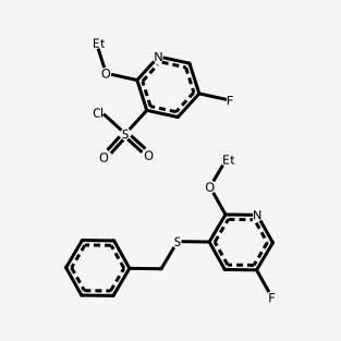 CCOc1ncc(F)cc1S(=O)(=O)Cl.CCOc1ncc(F)cc1SCc1ccccc1